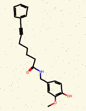 COc1cc(CNC(=O)CCCCC#Cc2ccccc2)ccc1O